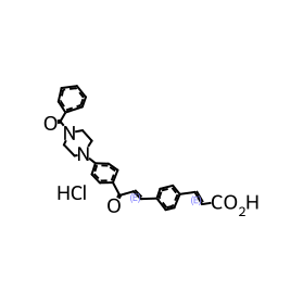 Cl.O=C(O)/C=C/c1ccc(/C=C/C(=O)c2ccc(N3CCN(C(=O)c4ccccc4)CC3)cc2)cc1